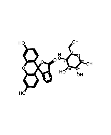 O=C1OC2(c3ccc(O)cc3Oc3cc(O)ccc32)c2ccccc21.OC[C@H]1O[C@@H](O)[C@H](O)[C@@H](O)[C@H]1O